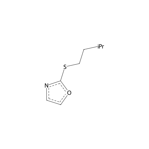 CC(C)CCSc1ncco1